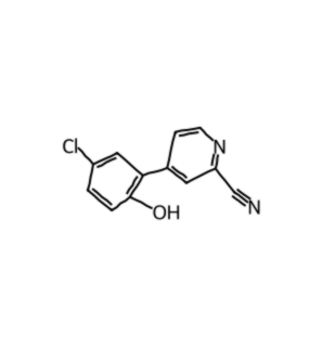 N#Cc1cc(-c2cc(Cl)ccc2O)ccn1